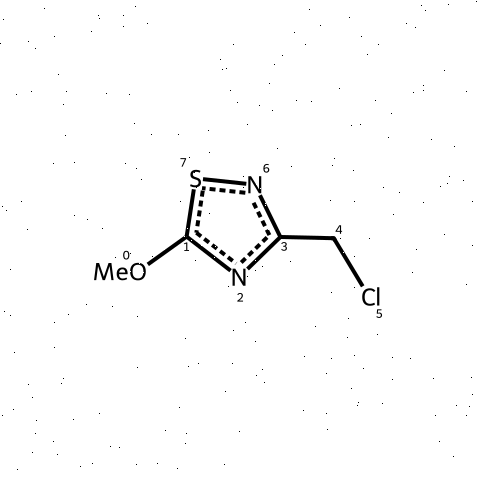 COc1nc(CCl)ns1